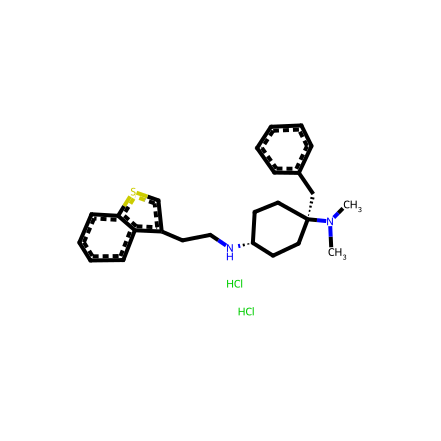 CN(C)[C@]1(Cc2ccccc2)CC[C@@H](NCCc2csc3ccccc23)CC1.Cl.Cl